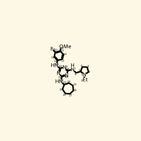 CCN1CCCC1CNc1nc(Nc2ccc(OC)c(F)c2)nc(NC2CCCCCC2)n1